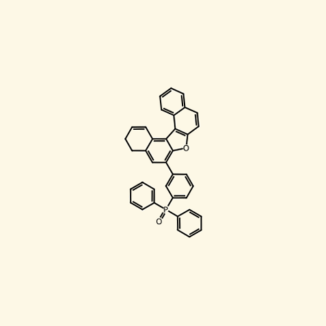 O=P(c1ccccc1)(c1ccccc1)c1cccc(-c2cc3c(c4c2oc2ccc5ccccc5c24)C=CCC3)c1